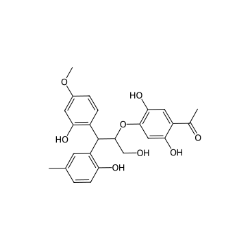 COc1ccc(C(c2cc(C)ccc2O)C(CO)Oc2cc(O)c(C(C)=O)cc2O)c(O)c1